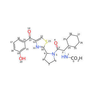 O=C(O)N[C@H](C(=O)N1CCCC1c1nc(C(=O)c2cccc(O)c2)cs1)C1CCCCC1